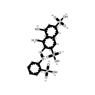 Nc1c(N=Nc2ccccc2S(=O)(=O)O)c(S(=O)(=O)O)cc2cc(S(=O)(=O)O)cc(O)c12